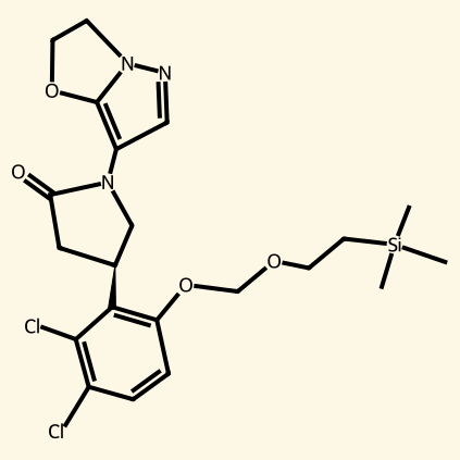 C[Si](C)(C)CCOCOc1ccc(Cl)c(Cl)c1[C@H]1CC(=O)N(c2cnn3c2OCC3)C1